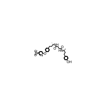 C[C@@H](CCc1ccc(O)cc1)NC(=O)CCC(=O)N[C@@H](C)CCc1ccc(Oc2ccc([N+](=O)[O-])cn2)cc1